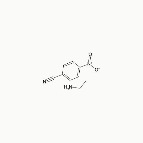 CCN.N#Cc1ccc([N+](=O)[O-])cc1